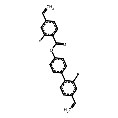 C=Cc1ccc(C(=O)Oc2ccc(-c3ccc(C=C)cc3F)cc2)c(F)c1